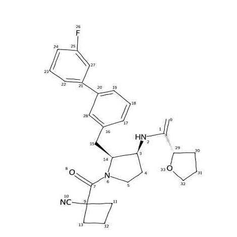 C=C(N[C@H]1CCN(C(=O)C2(C#N)CCC2)[C@H]1Cc1cccc(-c2cccc(F)c2)c1)[C@@H]1CCCO1